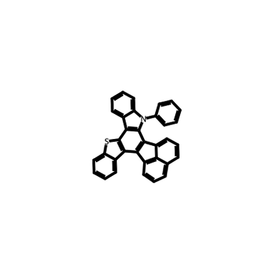 c1ccc(-n2c3ccccc3c3c4sc5ccccc5c4c4c(c32)-c2cccc3cccc-4c23)cc1